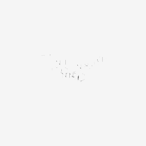 CCCNC(=O)c1ccc(N(C)[C@H](CN2CC[C@H](OCOC)C2)c2ccccc2)nc1